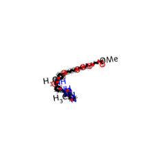 COC(=O)CCCCCOCCOCCOCCCCCCOc1ccc([C@@H](C)NC(=O)c2cccc(NCc3nnc(-c4ccncn4)n3C)c2)cc1